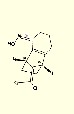 O/N=C1/CCCC2=C1[C@H]1CC[C@@H]2C1=C(Cl)Cl